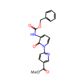 COC(=O)c1ccc(-n2cccc(NC(=O)OCc3ccccc3)c2=O)nc1